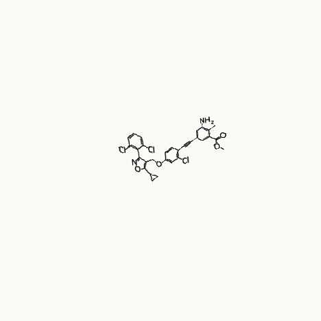 COC(=O)c1cc(C#Cc2ccc(OCc3c(-c4c(Cl)cccc4Cl)noc3C3CC3)cc2Cl)cc(N)c1C